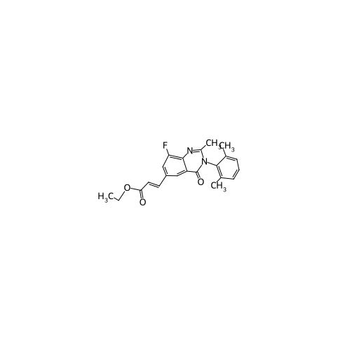 CCOC(=O)C=Cc1cc(F)c2nc(C)n(-c3c(C)cccc3C)c(=O)c2c1